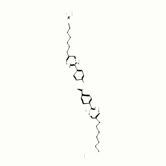 CCCCCCCCCc1cnc(-c2ccc(OC(=O)c3ccc(-c4ncc(CCCCCCCC)cn4)cc3)cc2)nc1